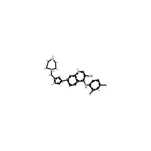 Cc1ccc(Nc2c(C#N)cnc3cc(-c4csc(CN5CCOCC5)c4)ccc23)c(C)c1